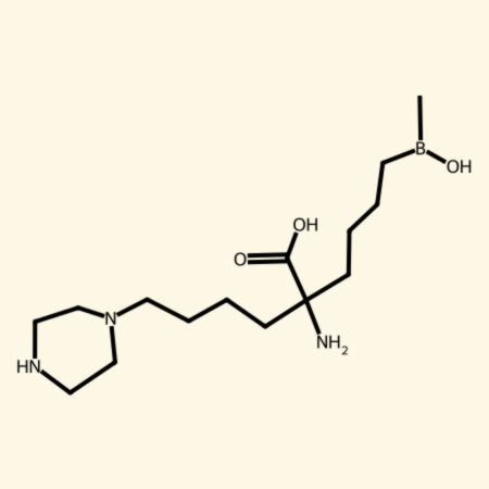 CB(O)CCCCC(N)(CCCCN1CCNCC1)C(=O)O